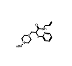 C=CCNC(=O)C(CN1CCN(CCCC)CC1)Sc1ccccn1